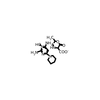 CC1OC(=O)C(C(=O)[O-])NS1.Nc1cc(N2CCCCC2)nc(N)[n+]1O